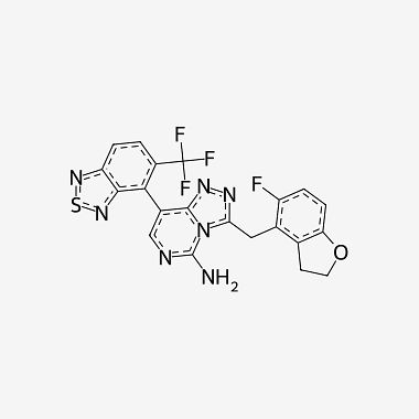 Nc1ncc(-c2c(C(F)(F)F)ccc3nsnc23)c2nnc(Cc3c(F)ccc4c3CCO4)n12